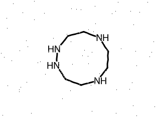 C1CNCCNNCCN1